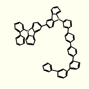 c1ccc(-c2cccc(-c3cccc(-c4ccc(-c5ccc(-c6cccc(-n7c8ccccc8c8cc(-c9ccc%10c(c9)c9ccccc9n%10-c9ccccc9-c9ccccc9)ccc87)c6)cc5)cc4)c3)c2)cc1